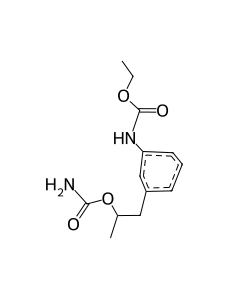 CCOC(=O)Nc1cccc(CC(C)OC(N)=O)c1